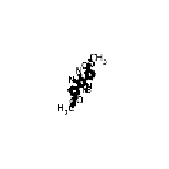 CCOC(=O)c1cccc(-c2c(C#N)c(C#N)c(-c3cccc(C(=O)OCC)c3)c3nsnc23)c1